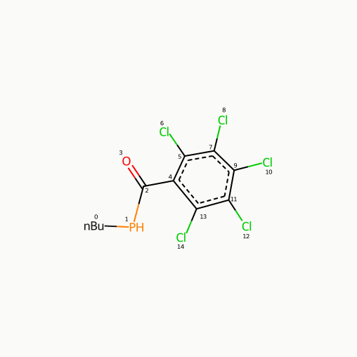 CCCCPC(=O)c1c(Cl)c(Cl)c(Cl)c(Cl)c1Cl